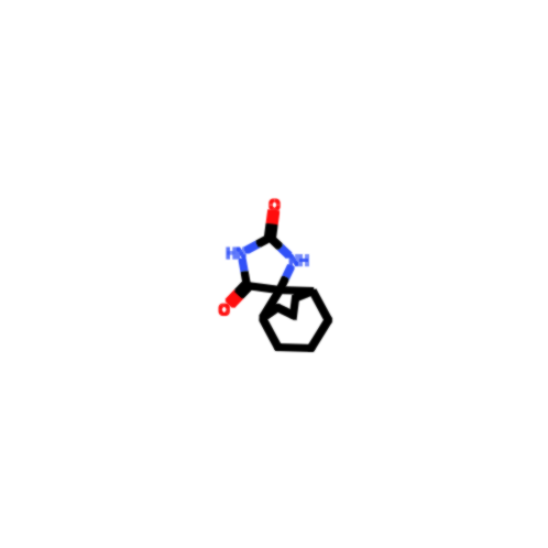 O=C1NC(=O)C2(N1)C1CCCC2CCC1